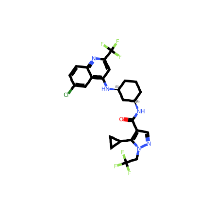 O=C(N[C@@H]1CCC[C@H](Nc2cc(C(F)(F)F)nc3ccc(Cl)cc23)C1)c1cnn(CC(F)(F)F)c1C1CC1